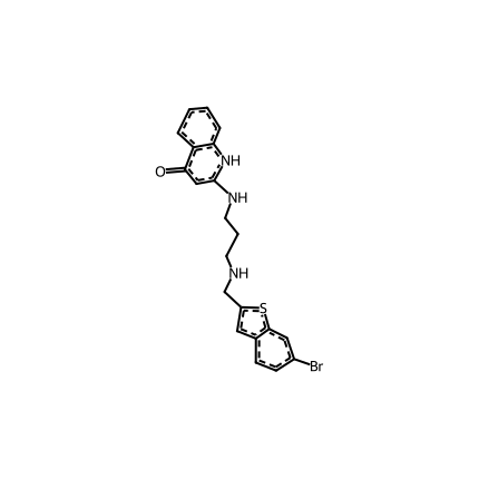 O=c1cc(NCCCNCc2cc3ccc(Br)cc3s2)[nH]c2ccccc12